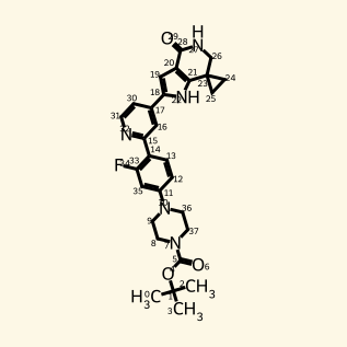 CC(C)(C)OC(=O)N1CCN(c2ccc(-c3cc(-c4cc5c([nH]4)C4(CC4)CNC5=O)ccn3)c(F)c2)CC1